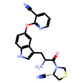 N#Cc1cccnc1Oc1ccc2[nH]cc(C[C@H](N)C(=O)N3CSC[C@@H]3C#N)c2c1